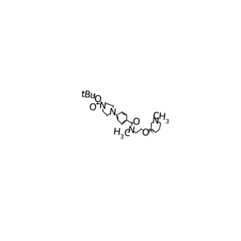 CN1CCC[C@@H](OCCN(C)C(=O)c2ccc(N3CCN(C(=O)OC(C)(C)C)CC3)cc2)C1